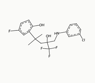 CC(C)(CC(O)(CNc1cccc(Cl)c1)C(F)(F)F)c1cc(F)ccc1O